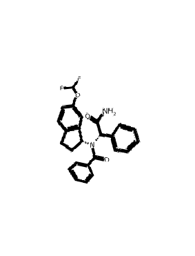 NC(=O)[C@H](c1ccccc1)N(C(=O)c1ccccc1)[C@@H]1CCc2ccc(OC(F)F)cc21